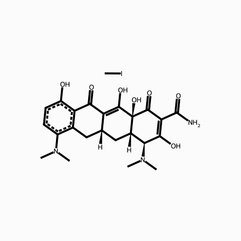 CI.CN(C)c1ccc(O)c2c1C[C@H]1C[C@H]3[C@H](N(C)C)C(O)=C(C(N)=O)C(=O)[C@@]3(O)C(O)=C1C2=O